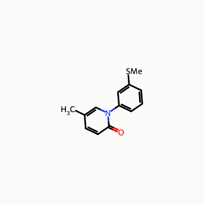 CSc1cccc(-n2cc(C)ccc2=O)c1